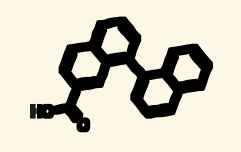 O=C(O)c1ccc2cccc(-c3cccc4ccccc34)c2c1